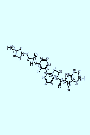 Cc1c(NC(=O)CCN2CCC(O)C2)cccc1-c1cccc2c1CCN2C(=O)c1nc2c(n1C)CNCC2